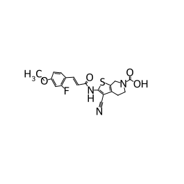 COc1ccc(C=CC(=O)Nc2sc3c(c2C#N)CCN(C(=O)O)C3)c(F)c1